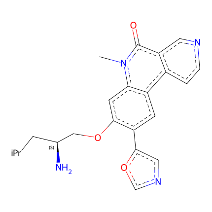 CC(C)C[C@H](N)COc1cc2c(cc1-c1cnco1)c1ccncc1c(=O)n2C